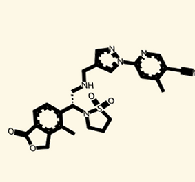 Cc1cc(-n2cc(CNC[C@@H](c3ccc4c(c3C)COC4=O)N3CCCS3(=O)=O)cn2)ncc1C#N